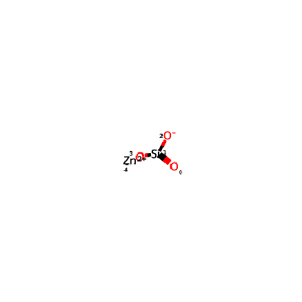 O=[Si]([O-])[O-].[Zn+2]